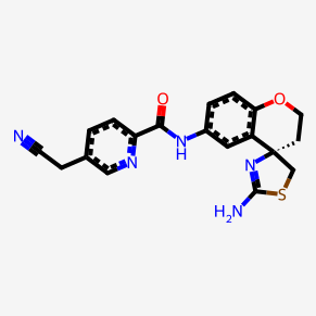 N#CCc1ccc(C(=O)Nc2ccc3c(c2)[C@@]2(CCO3)CSC(N)=N2)nc1